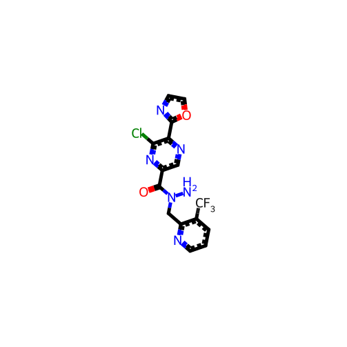 NN(Cc1ncccc1C(F)(F)F)C(=O)c1cnc(-c2ncco2)c(Cl)n1